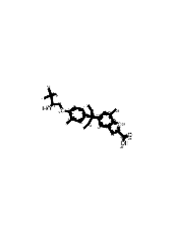 CCC(CC)(c1ccc(OCC(O)C(C)(C)C)c(C)c1)c1cc(C)c2oc(C(=O)O)cc2c1